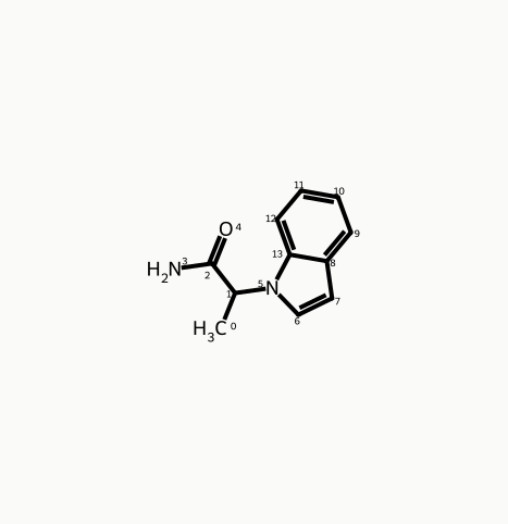 CC(C(N)=O)n1ccc2ccccc21